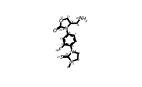 CN1CCN(c2ccc(N3C(=O)OCC3CN)cc2F)C1=S